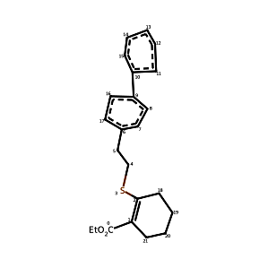 CCOC(=O)C1=C(SCCc2ccc(-c3ccccc3)cc2)CCCC1